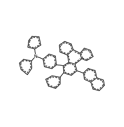 c1ccc(-c2cc(-c3ccc4ccccc4c3)c3c4ccccc4c4ccccc4c3c2-c2ccc(N(c3ccccc3)c3ccccc3)cc2)cc1